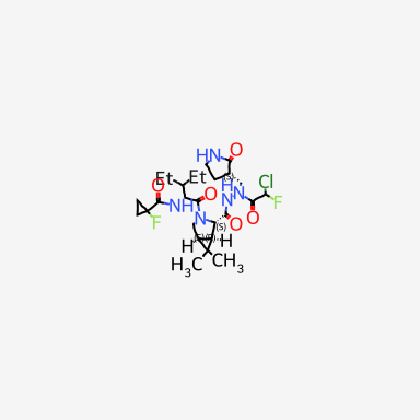 CCC(CC)C(NC(=O)C1(F)CC1)C(=O)N1C[C@H]2[C@@H]([C@H]1C(=O)NN(C[C@@H]1CCNC1=O)C(=O)C(F)Cl)C2(C)C